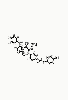 CCc1ccc(CCOc2ccc(CC(SC#N)C(=O)N3C(=O)OCC3Cc3ccccc3)cc2)nc1